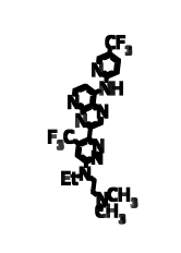 CCN(CCN(C)C)c1cc(C(F)(F)F)c(-c2cnc3c(Nc4ccc(C(F)(F)F)cn4)ccnc3n2)nn1